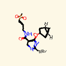 CC(C)(C)c1ncc(C(=O)NC/C=C/S(C)(=O)=O)c(O[C@H]2C[C@@H]3C[C@@H]3C2)n1